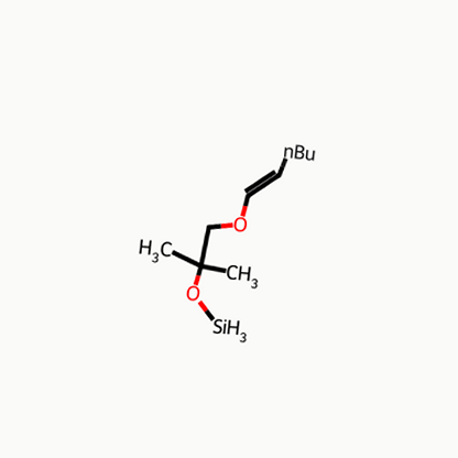 CCCCC=COCC(C)(C)O[SiH3]